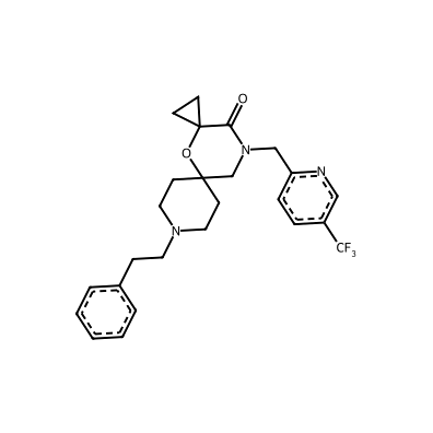 O=C1N(Cc2ccc(C(F)(F)F)cn2)CC2(CCN(CCc3ccccc3)CC2)OC12CC2